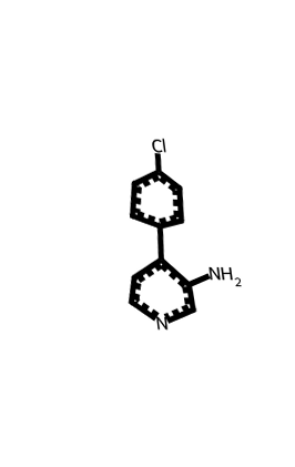 Nc1cnccc1-c1ccc(Cl)cc1